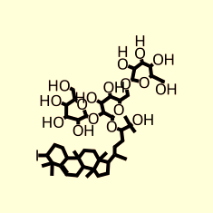 CC(CCC(OC1OC(COC2OC(CO)C(O)C(O)C2O)C(O)C(O)C1OC1OC(CO)C(O)C(O)C1O)C(C)(C)O)C1CCC2(C)C3CC=C4C(CCC(I)C4(C)C)C3(C)CCC12C